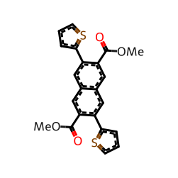 COC(=O)c1cc2cc(-c3cccs3)c(C(=O)OC)cc2cc1-c1cccs1